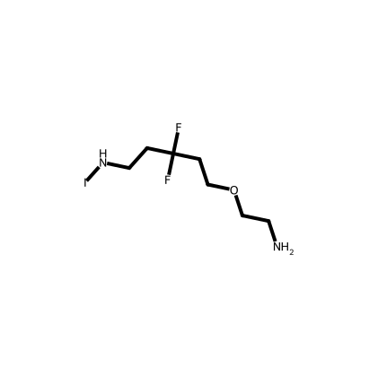 NCCOCCC(F)(F)CCNI